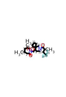 CC1CC(=O)N(CC2(O)CCN(C(=O)[C@H](C)CC(F)(F)F)CC23CCCC3)CC(C)C1